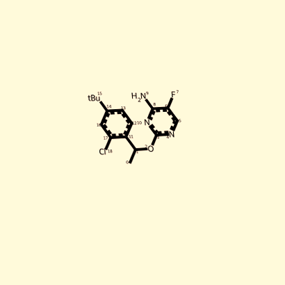 CC(Oc1ncc(F)c(N)n1)c1ccc(C(C)(C)C)cc1Cl